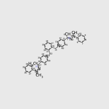 C/C(=N\N(C)c1ccccc1)c1cc[n+](Cc2ccccc2C[n+]2ccc(/C(C)=N/N(C)c3ccccc3)cc2)cc1